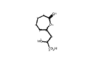 O=C1CCCCC(CC(O)C(=O)O)O1